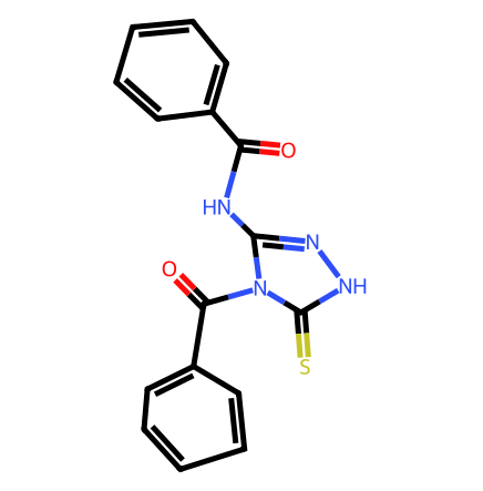 O=C(Nc1n[nH]c(=S)n1C(=O)c1ccccc1)c1ccccc1